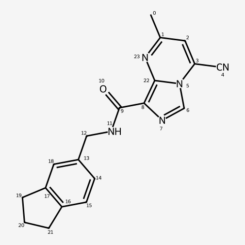 Cc1cc(C#N)n2cnc(C(=O)NCc3ccc4c(c3)CCC4)c2n1